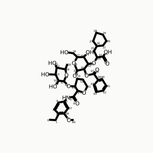 CCc1ccc(NC(=O)C2OCCC(OC3OC(CO)C(O)C(OC(CC4CCCCC4)C(=O)O)C3OC(=O)c3ccccc3)C2OC2OC(C)C(O)C(O)C2O)cc1OC